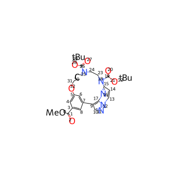 COC(=O)c1cc2cc(c1)-c1cnn3ccc(nc13)N(C(=O)OC(C)(C)C)CCN(C(=O)OC(C)(C)C)CCO2